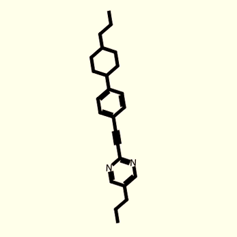 CCCc1cnc(C#Cc2ccc(C3CCC(CCC)CC3)cc2)nc1